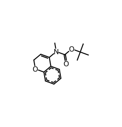 CN(C(=O)OC(C)(C)C)C1=CCOc2ccccc21